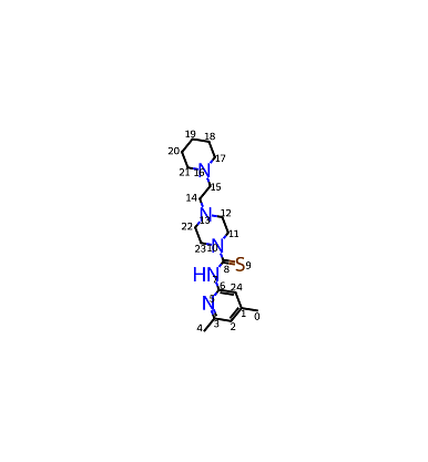 Cc1cc(C)nc(NC(=S)N2CCN(CCN3CCCCC3)CC2)c1